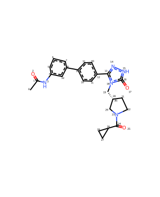 CC(=O)Nc1cccc(-c2ccc(-c3n[nH]c(=O)n3C[C@@H]3CCN(C(=O)C4CC4)C3)cc2)c1